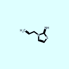 C=CCn1ccsc1=N